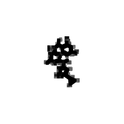 Cc1nc(NC(C)c2ccc(F)cc2F)nc(N(C)c2cc(C3CC3)[nH]n2)n1